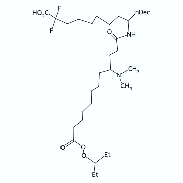 CCCCCCCCCCC(CCCCCCC(F)(F)C(=O)O)NC(=O)CCC(CCCCCCCC(=O)OOC(CC)CC)N(C)C